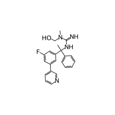 CN(CO)C(=N)NC(C)(c1ccccc1)c1cc(F)cc(-c2cccnc2)c1